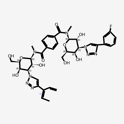 C=C/C(=C\C)c1cn([C@@H]2[C@@H](O)[C@H](N(C)C(=O)c3ccc(C(=O)N(C)[C@@H]4O[C@H](CO)[C@H](O)[C@H](n5cc(-c6cccc(F)c6)nn5)[C@H]4O)cc3)O[C@H](CO)[C@@H]2O)nn1